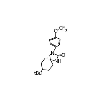 CC(C)(C)[C@H]1CC[C@]2(CC1)CN(c1ccc(OC(F)(F)F)cc1)C(=O)N2